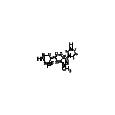 Cn1nc(N2C=CCNC2)c2ccc(C3CCNCC3(F)F)cc21